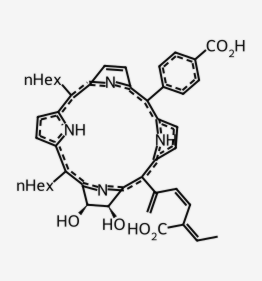 C=C(/C=C\C(=C/C)C(=O)O)c1c2nc(c(CCCCCC)c3ccc([nH]3)c(CCCCCC)c3nc(c(-c4ccc(C(=O)O)cc4)c4ccc1[nH]4)C=C3)[C@H](O)[C@@H]2O